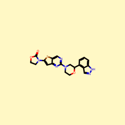 O=C1OCCN1c1cc2nc(N3CCOC(c4cccc5[nH]ncc45)C3)ncc2s1